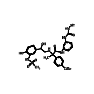 CCCNC(=O)Nc1cccc(NC(=O)C(C)(NCC(O)c2ccc(O)c(NS(C)(=O)=O)c2)c2ccc(OC)cc2)c1